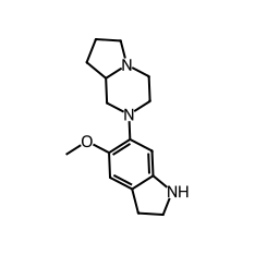 COc1cc2c(cc1N1CCN3CCCC3C1)NCC2